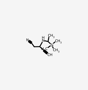 C#CC(CC#N)NC(C)[Si](C)(C)C